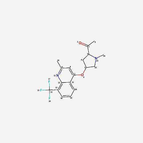 CC(=O)C1CC(Oc2cc(C)nc3c(C(F)(F)F)cccc23)CN1C